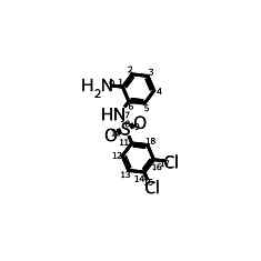 Nc1ccccc1NS(=O)(=O)c1ccc(Cl)c(Cl)c1